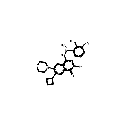 CCn1nc(N[C@H](C)c2cccc(C(F)(F)F)c2C)c2cc(N3CCOCC3)c(C3CCC3)cc2c1=O